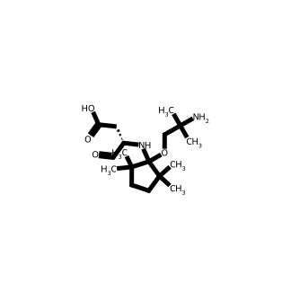 CC(C)(N)COC1(N[C@H](C=O)CC(=O)O)C(C)(C)CCC1(C)C